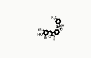 CC(C)(C)c1cc(C=C2C(=O)Nc3ccc(S(=O)(=O)Nc4ccc(C(F)(F)F)cc4)cc32)cc(Br)c1O